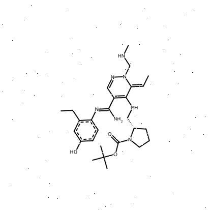 C/C=C1C(NC[C@@H]2CCCN2C(=O)OC(C)(C)C)=C(/C(N)=N/c2ccc(O)cc2CC)C=NN/1CNC